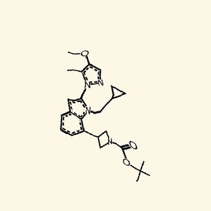 COc1cnn(-c2cc3cccc(C4CN(C(=O)OC(C)(C)C)C4)c3n2CC2CC2)c1C